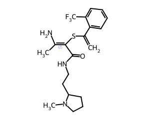 C=C(S/C(C(=O)NCCC1CCCN1C)=C(/C)N)c1ccccc1C(F)(F)F